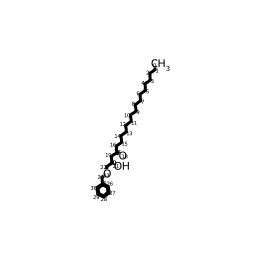 CCCCCCCCCCCCCCCCCC(=O)C[C@@H](O)COCc1ccccc1